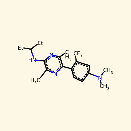 CCC(CC)Nc1nc(C)c(-c2ccc(N(C)C)cc2C(F)(F)F)nc1C